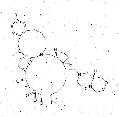 C[C@@H]1[C@@H](C)CCC[C@@H](CN2CCN3CCOC[C@H]3C2)[C@@H]2CC[C@H]2CN2CCCCc3cc(Cl)ccc3COc3ccc(cc32)C(=O)NS1(=O)=O